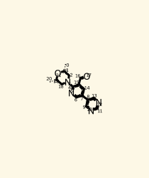 C[C@@H]1CN(c2ncc(-c3cncnc3)cc2C=O)C[C@H](C)O1